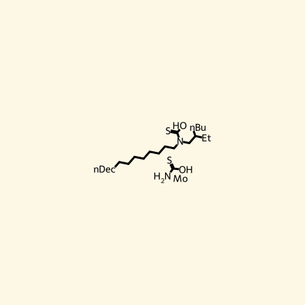 CCCCCCCCCCCCCCCCCCN(CC(CC)CCCC)C(O)=S.NC(O)=S.[Mo]